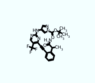 CC(C(N)=O)c1ccccc1C#Cc1nc(Nc2cnn(C(=O)OC(C)(C)C)c2)ncc1C(F)(F)F